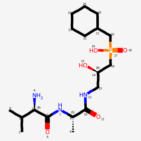 CC(C)[C@@H](N)C(=O)N[C@@H](C)C(=O)NC[C@@H](O)CP(=O)(O)CC1CCCCC1